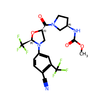 COC(=O)N[C@@H]1CCN(C(=O)[C@@H]2CN(c3ccc(C#N)c(C(F)(F)F)c3)[C@@H](C(F)(F)F)O2)C1